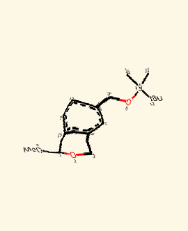 COC1OCc2cc(CO[Si](C)(C)C(C)(C)C)ccc21